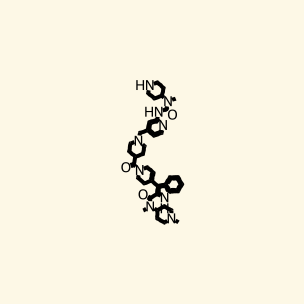 CN1CCC(N(C)C(=O)c2[nH]c3ccccc3c2C2=CCN(C(=O)C3CCN(Cc4ccnc(NC(=O)N(C)C5CCNCC5)c4)CC3)CC2)CC1